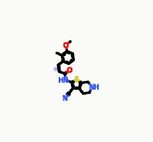 COc1cccc(/C=C\C(=O)Nc2sc3c(c2C#N)CCNC3)c1C